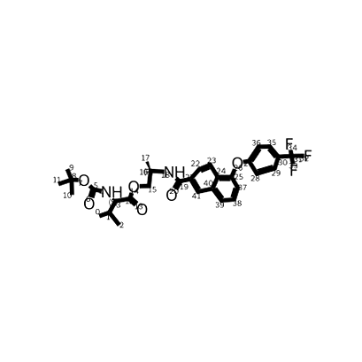 CC(C)[C@H](NC(=O)OC(C)(C)C)C(=O)OC[C@@H](C)NC(=O)c1ccc2c(Oc3ccc(C(F)(F)F)cc3)cccc2c1